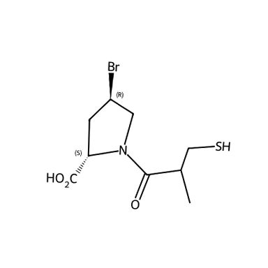 CC(CS)C(=O)N1C[C@H](Br)C[C@H]1C(=O)O